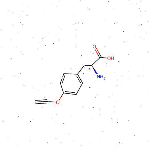 C#COc1ccc(C[C@H](N)C(=O)O)cc1